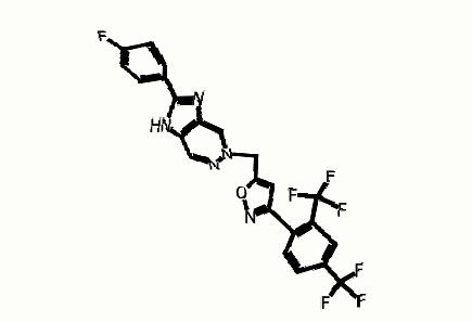 Fc1ccc(-c2nc3c([nH]2)C=NN(Cc2cc(-c4ccc(C(F)(F)F)cc4C(F)(F)F)no2)C3)cc1